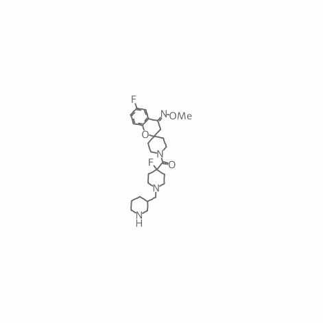 CO/N=C1\CC2(CCN(C(=O)C3(F)CCN(CC4CCCNC4)CC3)CC2)Oc2ccc(F)cc21